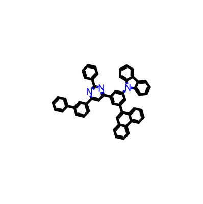 c1ccc(-c2cccc(-c3cc(-c4cc(-c5cc6ccccc6c6ccccc56)cc(-n5c6ccccc6c6ccccc65)c4)nc(-c4ccccc4)n3)c2)cc1